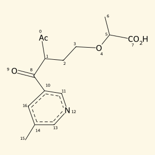 CC(=O)C(CCOC(C)C(=O)O)C(=O)c1cncc(C)c1